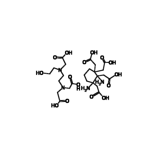 NC1(CC(=O)O)CCCC(CC(=O)O)(CC(=O)O)C1(N)CC(=O)O.O=C(O)CN(CCO)CCN(CC(=O)O)CC(=O)O